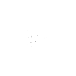 CC(NC(=O)OC(C)(C)C)C(=O)Nc1sc2c(c1C(=O)c1c(F)cccc1F)CCC2C(=O)O